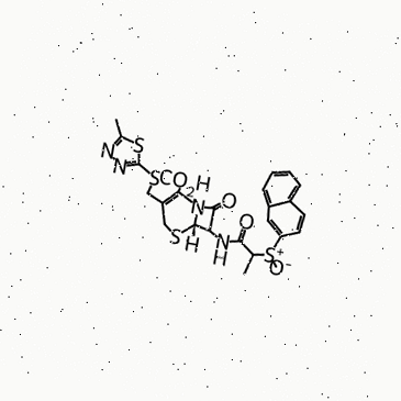 Cc1nnc(SCC2=C(C(=O)O)N3C(=O)C(NC(=O)C(C)[S+]([O-])c4ccc5ccccc5c4)[C@@H]3SC2)s1